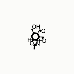 CC1=N[C@@H]2[C@H](C=O)[C@H](C=O)[C@H](CO)C[C@@H]2O1